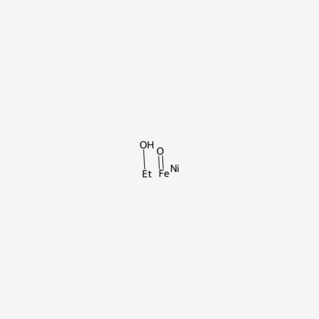 CCO.[Ni].[O]=[Fe]